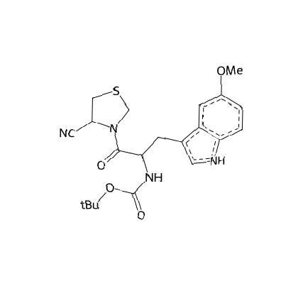 COc1ccc2[nH]cc(CC(NC(=O)OC(C)(C)C)C(=O)N3CSCC3C#N)c2c1